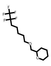 FC(F)(F)C(F)(F)CCCCCOCC1CCCCO1